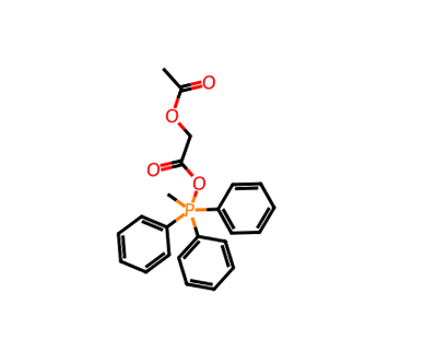 CC(=O)OCC(=O)OP(C)(c1ccccc1)(c1ccccc1)c1ccccc1